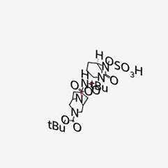 CC(C)(C)OC(=O)N1CC2CC(NC(=O)[C@@H]3CC[C@@H]4CN3C(=O)N4OS(=O)(=O)O)CC(C1)N2C(=O)OC(C)(C)C